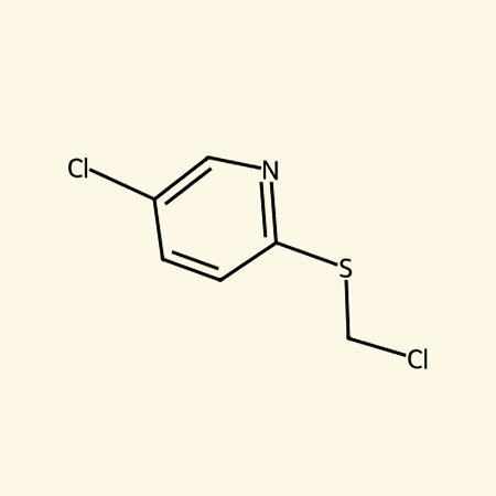 ClCSc1ccc(Cl)cn1